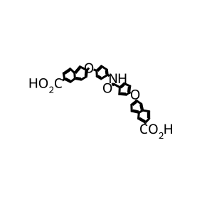 O=C(O)c1ccc2cc(Oc3ccc(NC(=O)c4ccc(Oc5ccc6cc(C(=O)O)ccc6c5)cc4)cc3)ccc2c1